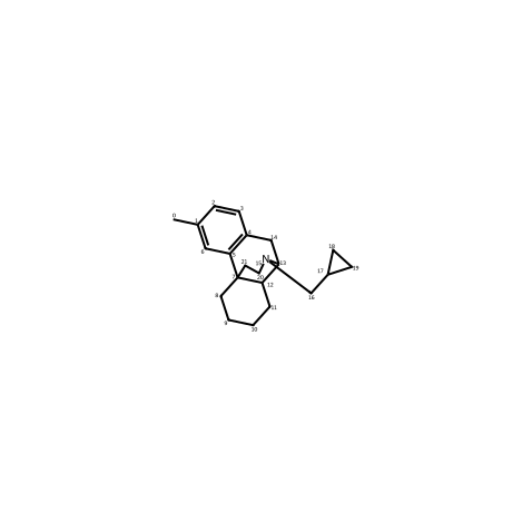 Cc1ccc2c(c1)C13CCCCC1C(C2)N(CC1CC1)CC3